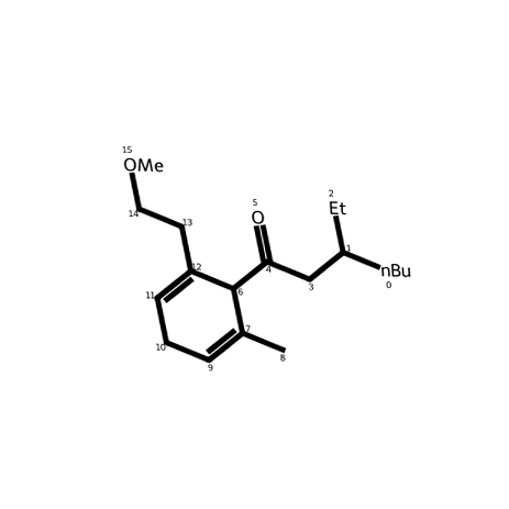 CCCCC(CC)CC(=O)C1C(C)=CCC=C1CCOC